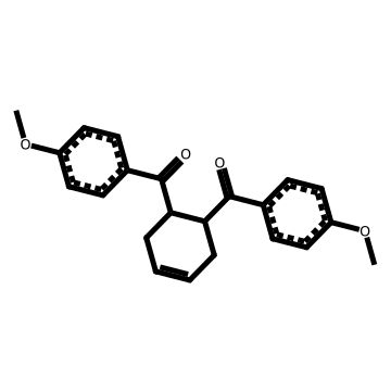 COc1ccc(C(=O)C2CC=CCC2C(=O)c2ccc(OC)cc2)cc1